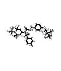 [2H]C([2H])([2H])N1C([2H])([2H])CC(N(C(=O)NCc2ccc(OC([2H])([2H])C([2H])(C([2H])([2H])[2H])C([2H])([2H])[2H])cc2)C([2H])([2H])c2ccc(F)cc2)CC1([2H])[2H]